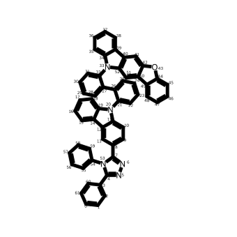 c1ccc(-c2nnc(-c3ccc4c(c3)c3ccccc3n4-c3ccccc3-c3ccccc3-n3c4ccccc4c4cc5oc6ccccc6c5cc43)n2-c2ccccc2)cc1